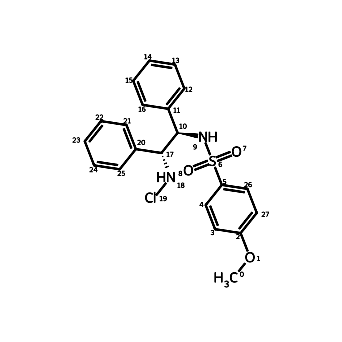 COc1ccc(S(=O)(=O)N[C@H](c2ccccc2)[C@H](NCl)c2ccccc2)cc1